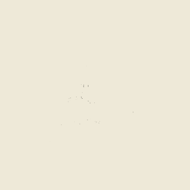 CC(C)Oc1ccc(/N=C(/NCc2ccc(I)cc2)NC(=O)NC[C@H](C)C(=O)O)cc1